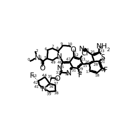 CN(C)C(=O)C1CCC2CCOc3c(Cl)c(-c4ccc(F)c5sc(N)c(C#N)c45)c(F)c4nc(OC[C@@]56CCCN5C[C@H](F)C6)nc(c34)N2C1